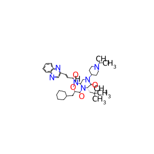 CC(C)N1CCC(N2C[C@@H]3N(C(=O)/C=C/c4cnc5ccccc5n4)O[C@H](CC4CCCCC4)C(=O)N3[C@@H](CC(C)(C)C)C2=O)CC1